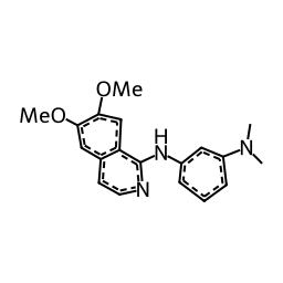 COc1cc2ccnc(Nc3cccc(N(C)C)c3)c2cc1OC